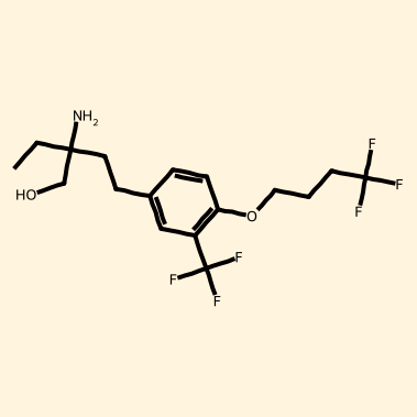 CCC(N)(CO)CCc1ccc(OCCCC(F)(F)F)c(C(F)(F)F)c1